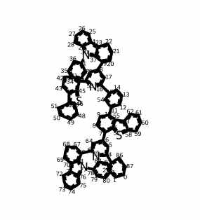 c1ccc(-c2cc(-c3ccc(-c4cccc(-c5cc(-c6cccc7c8ccccc8n(-c8ccccc8)c67)cc(-c6cccc7c6sc6ccccc67)n5)c4)c4c3sc3ccccc34)cc(-c3cccc4c5ccccc5n(-c5ccccc5)c34)n2)cc1